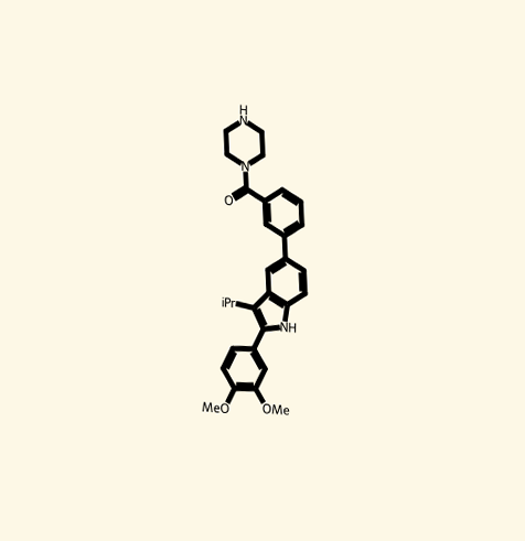 COc1ccc(-c2[nH]c3ccc(-c4cccc(C(=O)N5CCNCC5)c4)cc3c2C(C)C)cc1OC